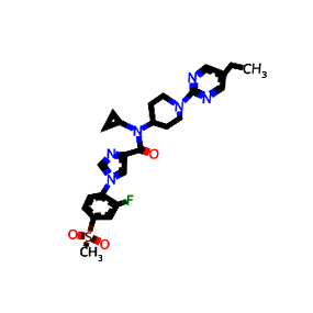 CCc1cnc(N2CCC(N(C(=O)c3cn(-c4ccc(S(C)(=O)=O)cc4F)cn3)C3CC3)CC2)nc1